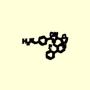 NCc1ccc(C2ON=C(c3ccco3)N2Cc2cnccc2-c2ccccc2F)cc1